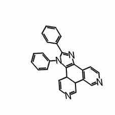 C1=CC2c3c(nc(-c4ccccc4)n3-c3ccccc3)-c3ccncc3C2C=N1